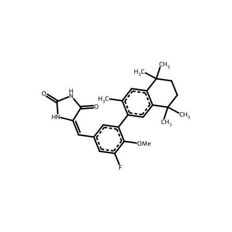 COc1c(F)cc(C=C2NC(=O)NC2=O)cc1-c1cc2c(cc1C)C(C)(C)CCC2(C)C